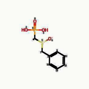 O=P(O)(O)C[S+]([O-])Cc1ccccc1